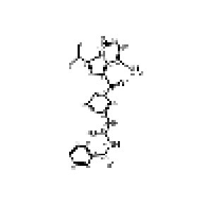 CC(C)c1cc(C(=O)c2cccc(NC(=O)N[C@H](C)c3ccccc3)c2)c2c(N)ncnn12